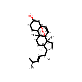 CC(C)[C@@H](C)C=C[C@@H](C)[C@H]1CC[C@H]2C34C=CC5(CC(O)CC[C@]5(C)[C@H]3CC[C@]12C)OO4